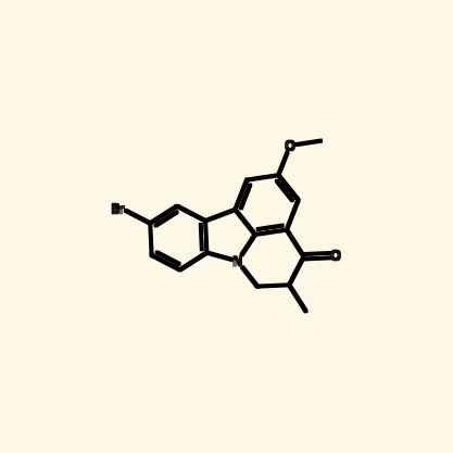 COc1cc2c3c(c1)c1cc(Br)ccc1n3CC(C)C2=O